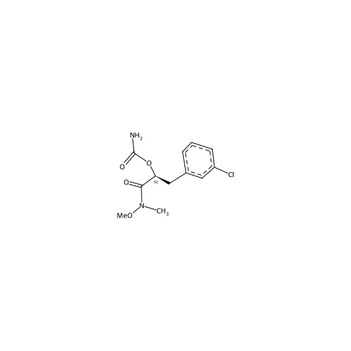 CON(C)C(=O)[C@H](Cc1cccc(Cl)c1)OC(N)=O